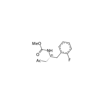 COC(=O)N[C@@H](CC(C)=O)Cc1ccccc1F